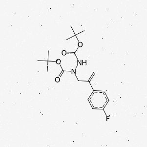 C=C(CN(NC(=O)OC(C)(C)C)C(=O)OC(C)(C)C)c1ccc(F)cc1